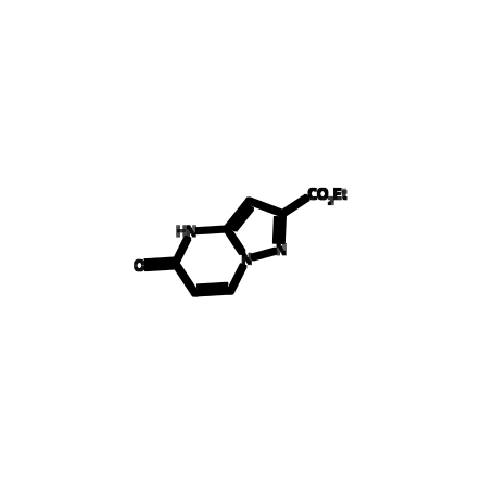 CCOC(=O)c1cc2[nH]c(=O)ccn2n1